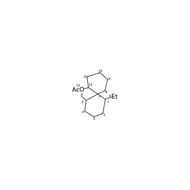 CCC1CCCC(C)C12CCCCC2OC(C)=O